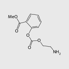 COC(=O)c1ccccc1OC(=O)OCCN